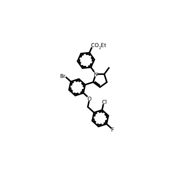 CCOC(=O)c1cccc(N2C(c3cc(Br)ccc3OCc3ccc(F)cc3Cl)=CCC2C)c1